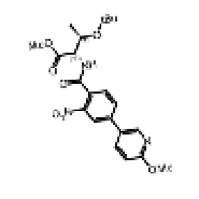 COC(=O)[C@@H](NC(=O)c1ccc(-c2ccc(OC)nc2)cc1[N+](=O)[O-])[C@@H](C)OC(C)(C)C